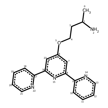 CC(N)CCOc1cc(-c2ccccn2)nc(-c2ccccn2)c1